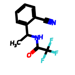 CC(NC(=O)C(F)(F)F)c1ccccc1C#N